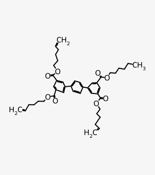 C=CCCCCOC(=O)c1cc(C(=O)OCCCCC=C)cc(-c2ccc(-c3cc(C(=O)OCCCCC=C)cc(C(=O)OCCCCCC)c3)cc2)c1